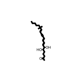 CCCCCC(C)(C)/C=C/C#C/C=C/C=C/[C@@H](O)[C@@H](O)CCCC(C)=O